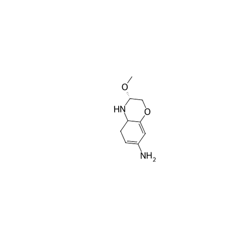 CO[C@@H]1COC2=CC(N)=CCC2N1